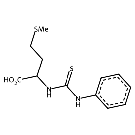 CSCCC(NC(=S)Nc1ccccc1)C(=O)O